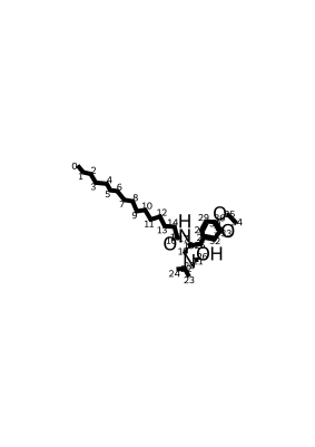 CCCCCCCCCCCCCCCC(=O)N[C@H](CN(C)C(C)C)[C@@H](O)c1ccc2c(c1)OCCO2